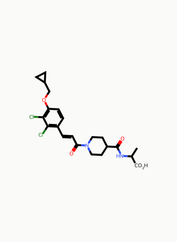 CC(NC(=O)C1CCN(C(=O)C=Cc2ccc(OCC3CC3)c(Cl)c2Cl)CC1)C(=O)O